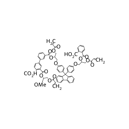 C=CC(=O)OCC(COc1ccc(C2(c3ccc(OCC(COC(=O)C=C)OC(=O)c4ccccc4C(=O)O)cc3)c3ccccc3-c3ccccc32)cc1)OC(=O)c1cccc(-c2ccc(C(=O)O)c(C(=O)OC(COC)COC(=O)C=C)c2)c1